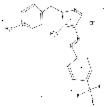 C[n+]1ccc(Cn2ncc(N=Nc3ccc(C(F)(F)F)cc3)c2N)cc1.[Cl-]